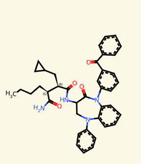 CCCC[C@H](C(N)=O)[C@@H](CC1CC1)C(=O)NC1CN(c2ccccc2)c2ccccc2N(c2cccc(C(=O)c3ccccc3)c2)C1=O